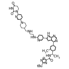 Cc1cc(-c2ncnc3[nH]c(-c4ccc(NCCNCC5CCN(c6ccc(N7CCC(=O)NC7=O)nc6)CC5)nc4)cc23)ccc1[C@@H](C)NC(=O)c1nc(C(C)(C)C)no1